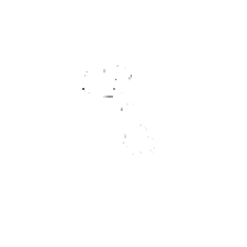 COc1ccc(NC(=O)C23CC4CC(CC(C4)C2)C3)cn1